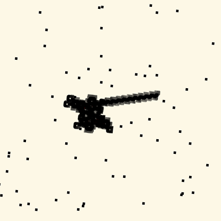 [C-]#[N+]/C(c1cnc2cc(Cl)c(Cl)cc2n1)=c1\c2c(-c3ccc(Cl)cc3)n(B(c3ccccc3)c3ccccc3)/c(=C(/C#N)c3cnc4cc(Cl)ccc4n3)c2c(-c2ccc(OCCCCCCCCCCCCCCCCCCCC)cc2)n1B(c1ccccc1)c1ccccc1